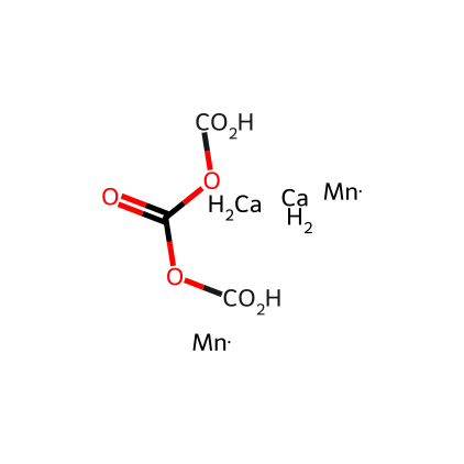 O=C(O)OC(=O)OC(=O)O.[CaH2].[CaH2].[Mn].[Mn]